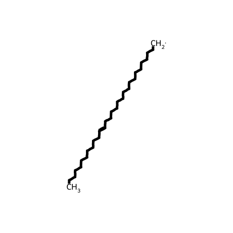 [CH2]CCCCCCCCCCCCCCCC/C=C/CCCCCCCCCCC